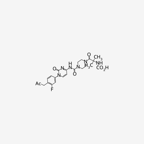 CC(=O)Cc1ccc(-n2ccc(NC(=O)N3CCN(C(=O)C(C)(C)NC(=O)O)CC3)nc2=O)cc1F